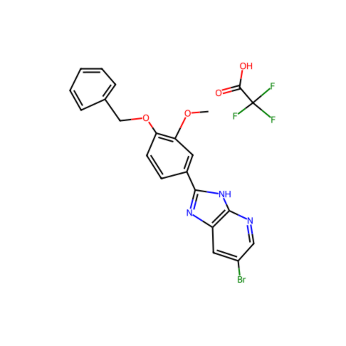 COc1cc(-c2nc3cc(Br)cnc3[nH]2)ccc1OCc1ccccc1.O=C(O)C(F)(F)F